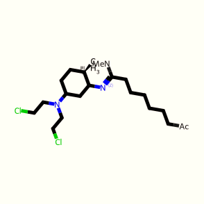 CN/C(CCCCCCC(C)=O)=N\C1CC(N(CCCl)CCCl)CC[C@H]1C